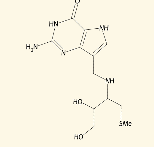 CSCC(NCc1c[nH]c2c(=O)[nH]c(N)nc12)C(O)CO